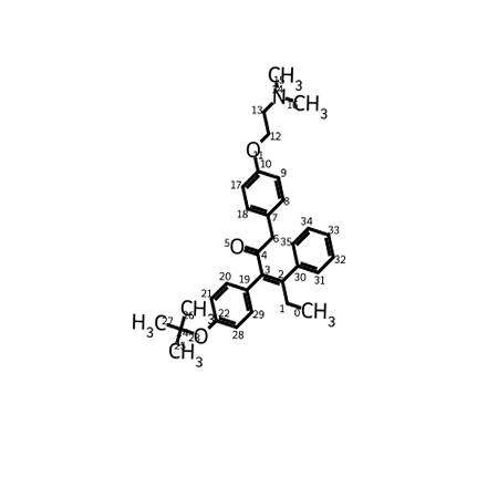 CCC(=C(C(=O)Cc1ccc(OCCN(C)C)cc1)c1ccc(OC(C)(C)C)cc1)c1ccccc1